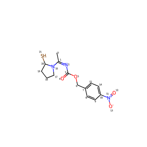 CC(=NC(=O)OCc1ccc([N+](=O)[O-])cc1)N1CCCC1S